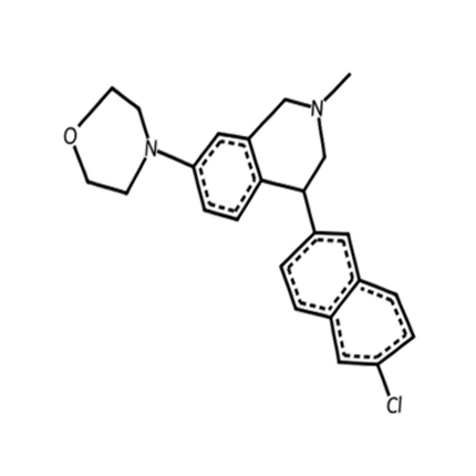 CN1Cc2cc(N3CCOCC3)ccc2C(c2ccc3cc(Cl)ccc3c2)C1